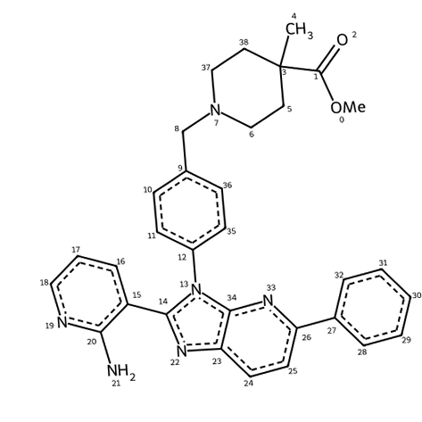 COC(=O)C1(C)CCN(Cc2ccc(-n3c(-c4cccnc4N)nc4ccc(-c5ccccc5)nc43)cc2)CC1